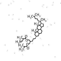 C=C(C)C(=O)OCC(CCC[C@H]1CC[C@@]2(C)C(CCC3C2CC[C@@]2(C)C3CC[C@@H]2[C@H](C)CCCC(C)C)C1)COC(=O)C(=C)CN